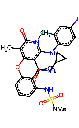 CNS(=O)(=O)Nc1cccc(Oc2c(C(=O)NC3CC3)c(Nc3ccc(I)cc3F)n(C)c(=O)c2C)c1CC(F)(F)F